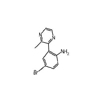 Cc1nccnc1-c1cc(Br)ccc1N